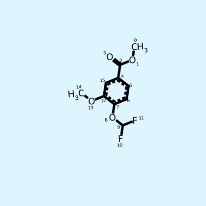 COC(=O)c1ccc(OC(F)F)c(OC)c1